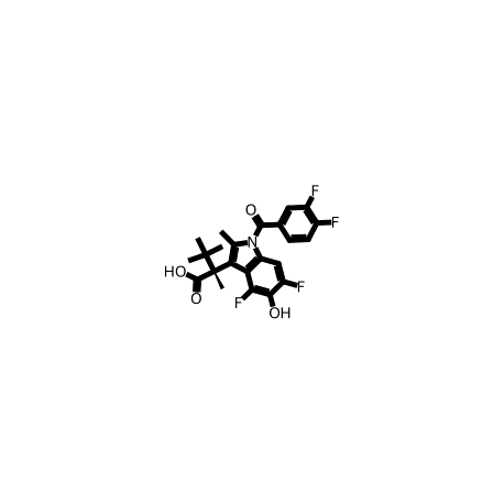 Cc1c([C@](C)(C(=O)O)C(C)(C)C)c2c(F)c(O)c(F)cc2n1C(=O)c1ccc(F)c(F)c1